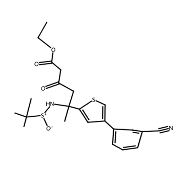 CCOC(=O)CC(=O)CC(C)(N[S+]([O-])C(C)(C)C)c1cc(-c2cccc(C#N)c2)cs1